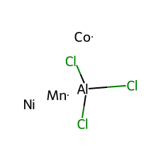 [Cl][Al]([Cl])[Cl].[Co].[Mn].[Ni]